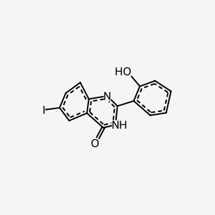 O=c1[nH]c(-c2ccccc2O)nc2ccc(I)cc12